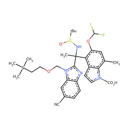 Cc1cc(OC(F)F)c(C(C)(N[S+]([O-])C(C)(C)C)c2nc3ccc(C#N)cc3n2COCC[Si](C)(C)C)c2ccn(C(=O)O)c12